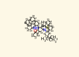 CC(C)(C)c1ccc(N2c3cc4c(oc5ccccc54)c(-c4cccc5c4Nc4ccccc4C5(c4ccccc4)c4ccccc4)c3Bc3c2sc2ccccc32)c(-c2ccccc2)c1